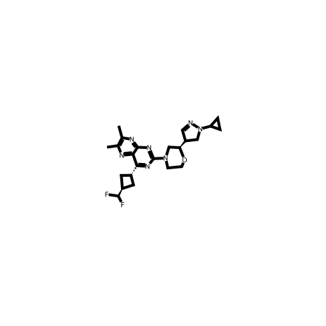 Cc1nc2nc(N3CCO[C@H](C4C=NN(C5CC5)C4)C3)nc([C@H]3C[C@H](C(F)F)C3)c2nc1C